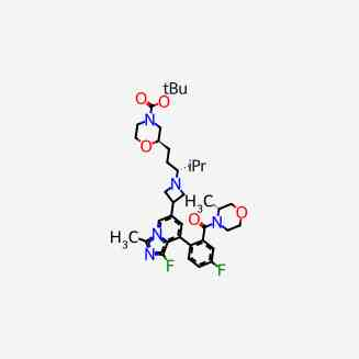 Cc1nc(F)c2c(-c3ccc(F)cc3C(=O)N3CCOC[C@H]3C)cc(C3CN([C@H](CC[C@@H]4CN(C(=O)OC(C)(C)C)CCO4)C(C)C)C3)cn12